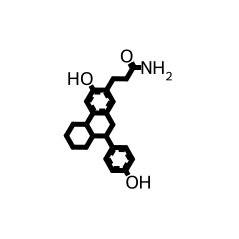 NC(=O)CCc1cc2c(cc1O)C1CCCCC1C(c1ccc(O)cc1)C2